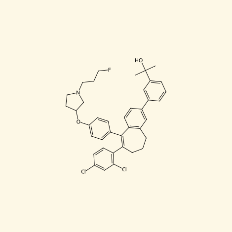 CC(C)(O)c1cccc(-c2ccc3c(c2)CCCC(c2ccc(Cl)cc2Cl)=C3c2ccc(OC3CCN(CCCF)C3)cc2)c1